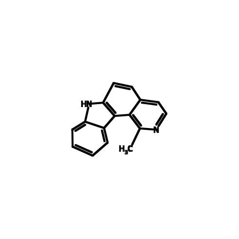 Cc1nccc2ccc3[nH]c4ccccc4c3c12